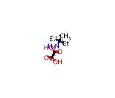 CCC(C)(N)CC.O=C(O)C(=O)O